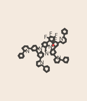 N#Cc1c(-n2c3ccc(-c4cccc(-c5ccccc5)n4)cc3c3cc(-c4cccc(-c5ccccc5)n4)ccc32)ccc(-c2c(F)c(F)c(F)c(F)c2F)c1-n1c2ccc(-c3cccc(-c4ccccc4)n3)cc2c2cc(-c3cccc(-c4ccccc4)n3)ccc21